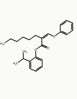 CCCCCCC(=COc1ccccc1)C(=O)Oc1ccccc1C(C)C